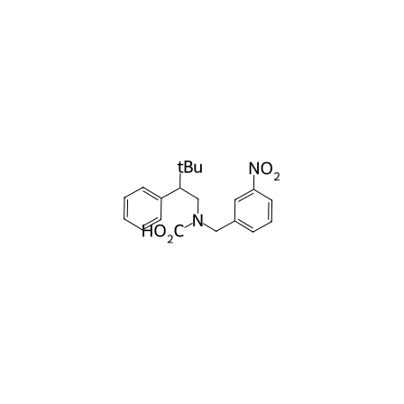 CC(C)(C)C(CN(Cc1cccc([N+](=O)[O-])c1)C(=O)O)c1ccccc1